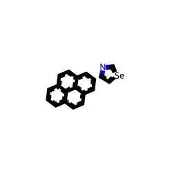 c1c[se]cn1.c1cc2ccc3cccc4ccc(c1)c2c34